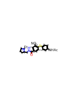 CCN1CCCC1CNC(=O)c1ccc(Sc2ccc(NC(C)=O)cc2)c([N+](=O)[O-])c1